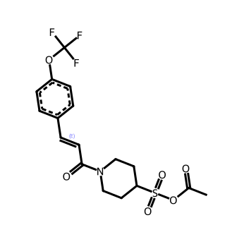 CC(=O)OS(=O)(=O)C1CCN(C(=O)/C=C/c2ccc(OC(F)(F)F)cc2)CC1